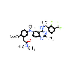 COc1ccc(N(C)c2ccc3nc(C)nc(N[C@H](C)c4cccc(C(F)F)c4F)c3c2)cc1CC(=O)N(C)C